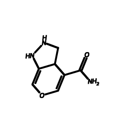 NC(=O)C1=COC=C2NNCC21